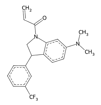 C=CC(=O)N1CC(c2cccc(C(F)(F)F)c2)c2ccc(N(C)C)cc21